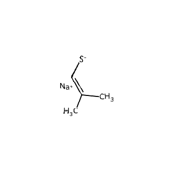 CC(C)=C[S-].[Na+]